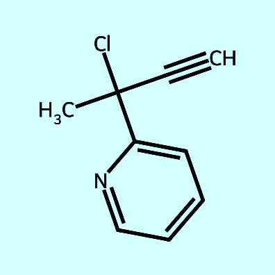 C#CC(C)(Cl)c1ccccn1